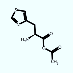 CC(=O)OC(=O)[C@@H](N)Cc1cscn1